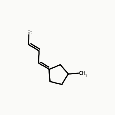 CCC=CC=C1CCC(C)C1